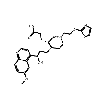 COc1ccc2nccc([C@H](O)CC[C@@H]3CCN(CCSc4nccs4)C[C@H]3CCC(=O)O)c2c1